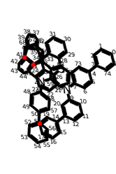 c1ccc(-c2ccc(N(c3cccc(-c4ccccc4)c3)c3cccc4c3Sc3ccccc3C43c4ccccc4-c4cccc(N(c5ccc(-c6ccccc6)cc5)c5ccccc5-c5ccccc5)c43)cc2)cc1